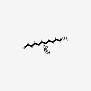 CCCCCCCCCCCI.[Pb].[Pb].[Pb]